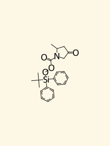 CC1CC(=O)CN1C(=O)OO[Si](c1ccccc1)(c1ccccc1)C(C)(C)C